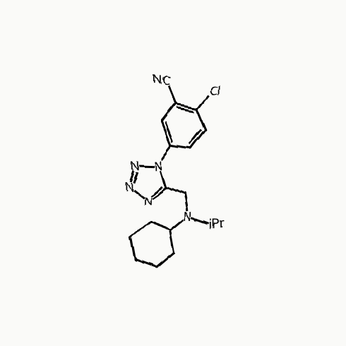 CC(C)N(Cc1nnnn1-c1ccc(Cl)c(C#N)c1)C1CCCCC1